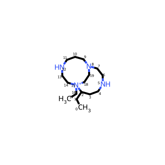 CCC1CCNCCN2CCCNCC[N+]1(CC)CC2